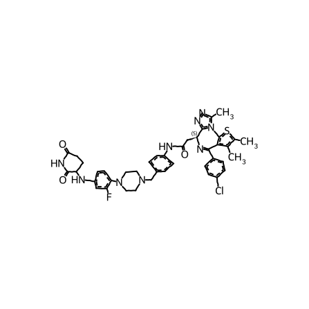 Cc1sc2c(c1C)C(c1ccc(Cl)cc1)=N[C@@H](CC(=O)Nc1ccc(CN3CCN(c4ccc(NC5CCC(=O)NC5=O)cc4F)CC3)cc1)c1nnc(C)n1-2